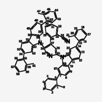 Cc1ccccc1-c1ccc2c3ccc(-c4ccccc4C)cc3n(-c3cc(-c4ccccc4C#N)c(-n4c5cc(-c6ccccc6C)ccc5c5ccc(-c6ccccc6C)cc54)cn3)c2c1